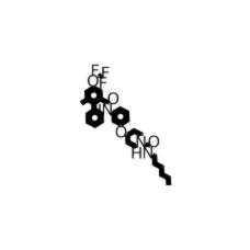 CCCCCCNC(=O)N1CCC(Oc2cccc(NC(=O)c3cc(OC(F)(F)F)cc(C)c3-c3ccccc3)c2)CC1